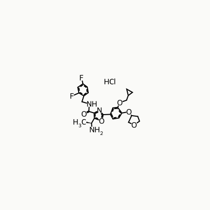 C[C@H](N)c1oc(-c2ccc(OC3CCOC3)c(OCC3CC3)c2)nc1C(=O)NCc1ccc(F)cc1F.Cl